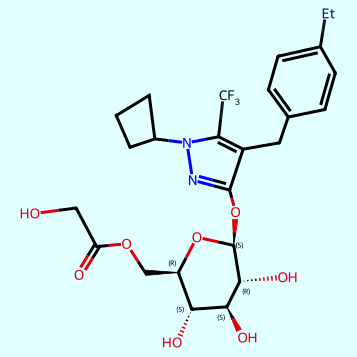 CCc1ccc(Cc2c(O[C@@H]3O[C@H](COC(=O)CO)[C@@H](O)[C@H](O)[C@H]3O)nn(C3CCC3)c2C(F)(F)F)cc1